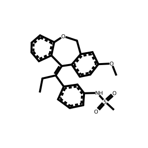 CC/C(=C1/c2ccc(OC)cc2COc2ccccc21)c1cccc(NS(C)(=O)=O)c1